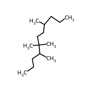 CCCC(C)C[CH]C(C)(C)C(C)CCC